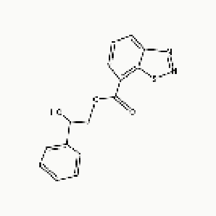 O=C(OCC(O)c1ccccc1)c1cccc2nnsc12